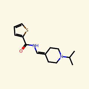 CC(C)N1CCC(=CNC(=O)c2cccs2)CC1